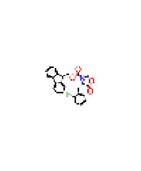 O=C1OCN(C(=O)OCC2c3ccccc3-c3ccccc32)[C@H]1Cc1ccccc1F